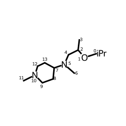 CC(C)OC(C)CN(C)C1CCN(C)CC1